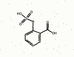 O=C(O)c1ccccc1[N]S(=O)(=O)O